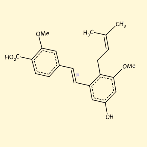 COc1cc(/C=C/c2cc(O)cc(OC)c2CC=C(C)C)ccc1C(=O)O